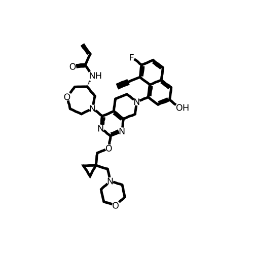 C#Cc1c(F)ccc2cc(O)cc(N3CCc4c(nc(OCC5(CN6CCOCC6)CC5)nc4N4CCOC[C@H](NC(=O)C=C)C4)C3)c12